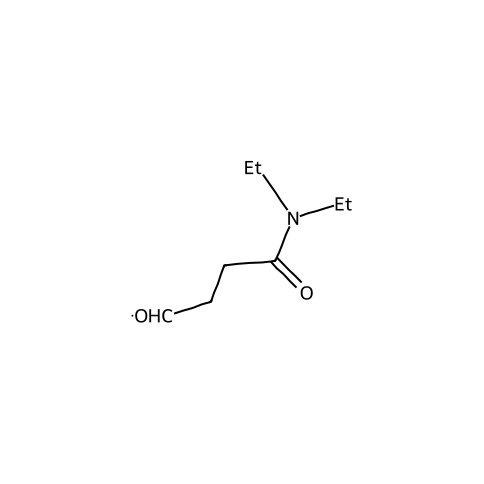 CCN(CC)C(=O)CC[C]=O